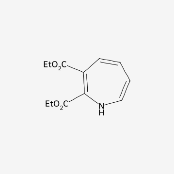 CCOC(=O)C1=C(C(=O)OCC)NC=CC=C1